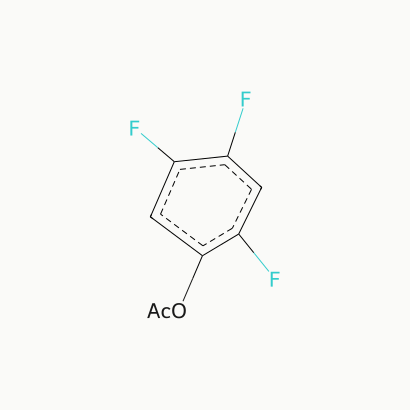 CC(=O)Oc1cc(F)c(F)cc1F